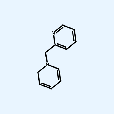 C1=CCN(Cc2ccccn2)C=C1